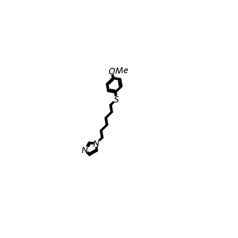 COc1ccc(SCCCCCCn2ccnc2)cc1